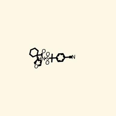 CC(C)(c1ccc(C#N)cc1)S(=O)(=O)NC(=O)C1(c2ccoc2)CCCCC1